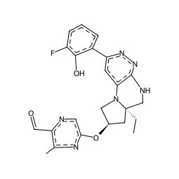 CC[C@@]12CNc3nnc(-c4cccc(F)c4O)cc3N1C[C@H](Oc1cnc(C=O)c(C)n1)C2